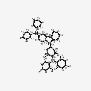 Cc1cc(C)c(B(c2c(C)cc(C)cc2C)c2c(C)cc(-n3c4ccccc4c4cc(N(c5ccccc5)c5ccccc5)ccc43)cc2C)c(C)c1